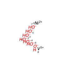 [Ni+2].[OH-].[OH-].[OH-].[OH-].[OH-].[OH-].[OH-].[V+5]